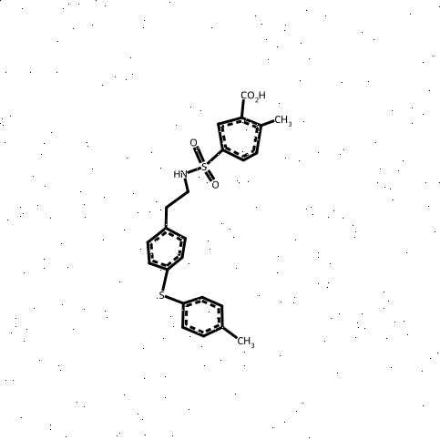 Cc1ccc(Sc2ccc(CCNS(=O)(=O)c3ccc(C)c(C(=O)O)c3)cc2)cc1